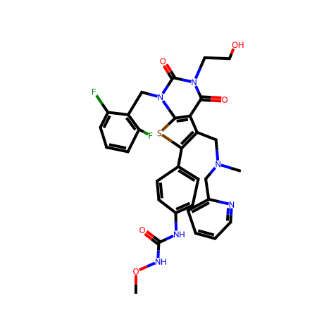 CONC(=O)Nc1ccc(-c2sc3c(c2CN(C)Cc2ccccn2)c(=O)n(CCO)c(=O)n3Cc2c(F)cccc2F)cc1